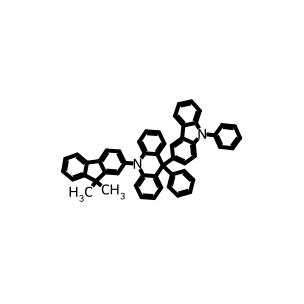 CC1(C)c2ccccc2-c2ccc(N3c4ccccc4C(c4ccccc4)(c4ccc5c(c4)c4ccccc4n5-c4ccccc4)c4ccccc43)cc21